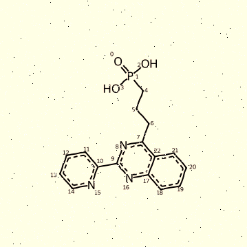 O=P(O)(O)CCCc1nc(-c2ccccn2)nc2ccccc12